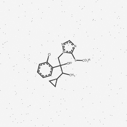 CC(C1CC1)C(O)(Cn1ncnc1SC(=O)O)c1ccccc1Cl